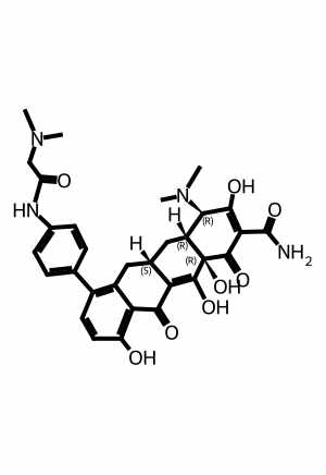 CN(C)CC(=O)Nc1ccc(-c2ccc(O)c3c2C[C@@H]2C[C@@H]4[C@@H](N(C)C)C(O)=C(C(N)=O)C(=O)[C@]4(O)C(O)=C2C3=O)cc1